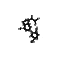 CC(C(F)F)n1cnc2c(F)cc(-c3nc(Cl)ncc3Cl)cc21